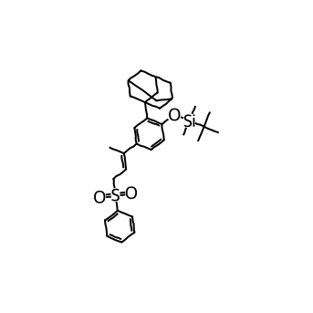 CC(=CCS(=O)(=O)c1ccccc1)c1ccc(O[Si](C)(C)C(C)(C)C)c(C23CC4CC(CC(C4)C2)C3)c1